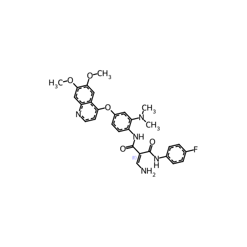 COc1cc2nccc(Oc3ccc(NC(=O)/C(=C/N)C(=O)Nc4ccc(F)cc4)c(N(C)C)c3)c2cc1OC